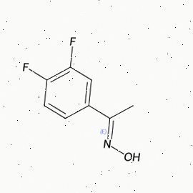 C/C(=N\O)c1ccc(F)c(F)c1